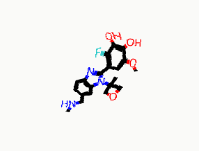 CNCc1ccc2nc(-c3cc(OC)c(O)c(O)c3F)n(C3(C)COC3)c2c1